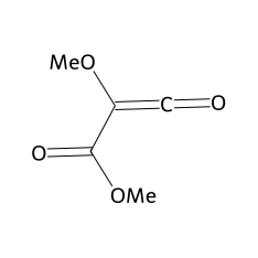 [CH2]OC(=O)C(=C=O)OC